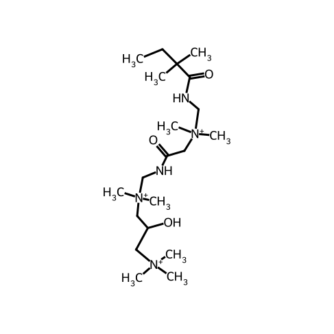 CCC(C)(C)C(=O)NC[N+](C)(C)CC(=O)NC[N+](C)(C)CC(O)C[N+](C)(C)C